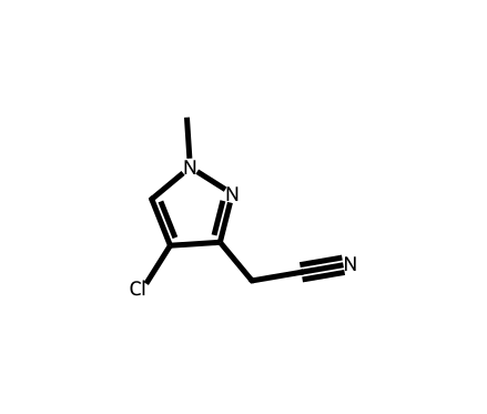 Cn1cc(Cl)c(CC#N)n1